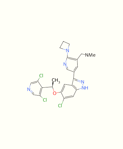 CNCc1cc(-c2n[nH]c3cc(Cl)c(O[C@H](C)c4c(Cl)cncc4Cl)cc23)cnc1N1CCC1